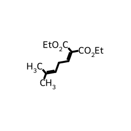 CCOC(=O)C(=CCC=C(C)C)C(=O)OCC